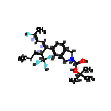 CC/C=C(/C(=C\C=C(/C)F)c1ccc2c(c1)CN(C(=O)OC(C)(C)C)C2)C(F)(F)F